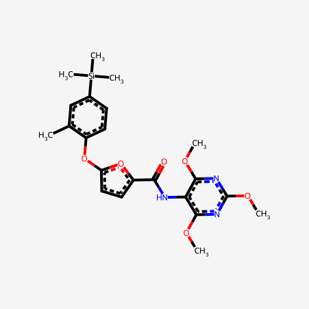 COc1nc(OC)c(NC(=O)c2ccc(Oc3ccc([Si](C)(C)C)cc3C)o2)c(OC)n1